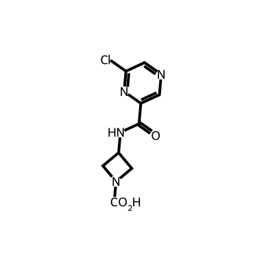 O=C(NC1CN(C(=O)O)C1)c1cncc(Cl)n1